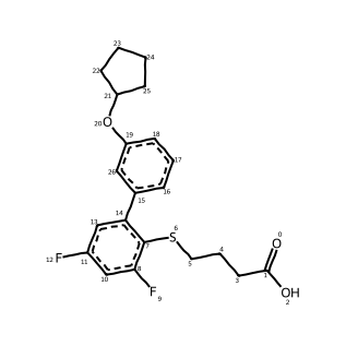 O=C(O)CCCSc1c(F)cc(F)cc1-c1cccc(OC2CCCC2)c1